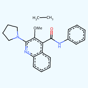 CC.COc1c(N2CCCC2)nc2ccccc2c1C(=O)Nc1ccccc1